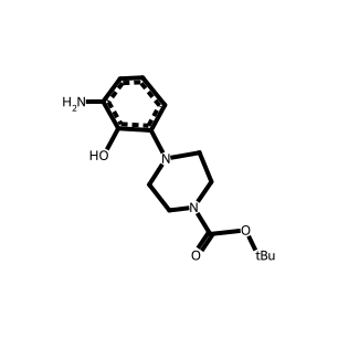 CC(C)(C)OC(=O)N1CCN(c2cccc(N)c2O)CC1